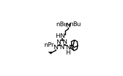 CCCCN(CCCC)CCCNc1nc(NC23CC4CC(CC(C4)C2)C3)nc(N(CCC)CC2CC2)n1